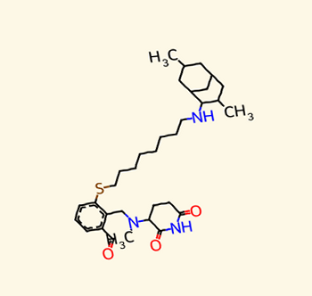 CC1CC2CC(C)C(NCCCCCCCCSc3cccc(C=O)c3CN(C)C3CCC(=O)NC3=O)C(C1)C2